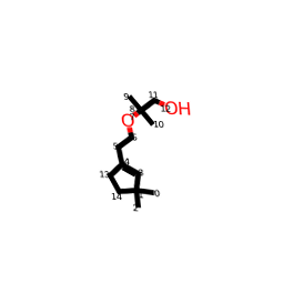 CC1(C)C=C(CCOC(C)(C)CO)CC1